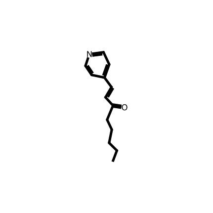 CCCCCC(=O)/C=C/c1ccncc1